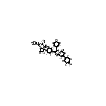 CC(C)(C)OC(=O)NC1(c2ccc(-c3nc4cc(-c5ccc(F)cc5)ccn4c3-c3ccccc3)cc2)CCC1